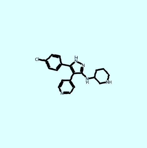 Clc1ccc(-c2[nH]nc(NC3CCCNC3)c2-c2ccncc2)cc1